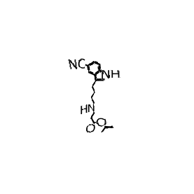 C=C(C)OC(=O)CCNCCCCc1c[nH]c2ccc(C#N)cc12